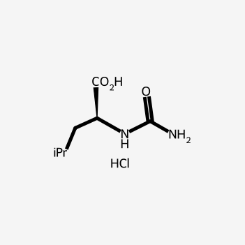 CC(C)C[C@H](NC(N)=O)C(=O)O.Cl